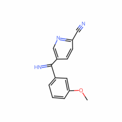 COc1cccc(C(=N)c2ccc(C#N)nc2)c1